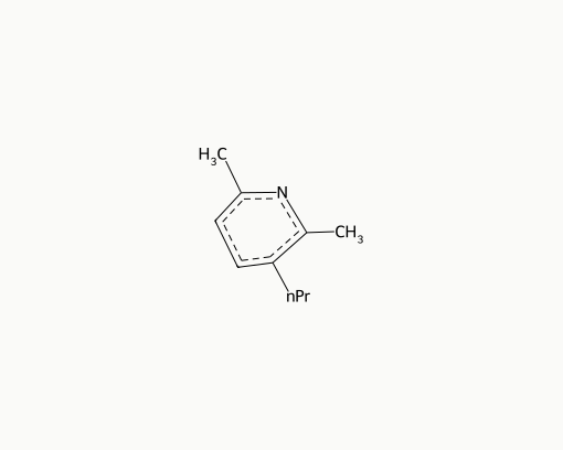 CCCc1ccc(C)nc1C